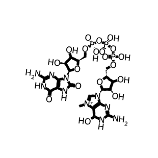 C[n+]1cn([C@@H]2O[C@H](COP(=O)(O)OP(=O)(O)OP(=O)(O)OC[C@H]3O[C@@H](n4c(=O)[nH]c5c(=O)[nH]c(N)nc54)[C@@H](O)C3O)C(O)[C@@H]2O)c2c1C(O)NC(N)=N2